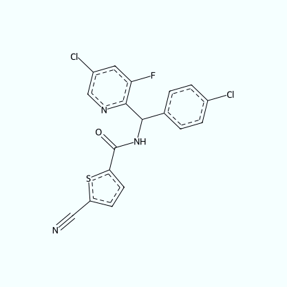 N#Cc1ccc(C(=O)NC(c2ccc(Cl)cc2)c2ncc(Cl)cc2F)s1